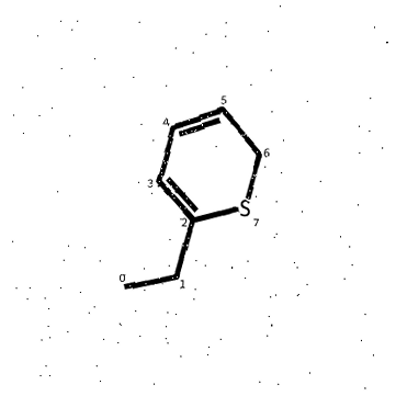 CCC1=[C]C=CCS1